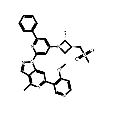 COc1ccncc1-c1cc2c(cnn2-c2cc(N3C[C@H](CS(C)(=O)=O)[C@H]3C)cc(-c3ccccc3)n2)c(C)n1